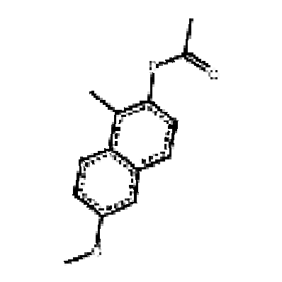 COc1ccc2c(C)c(OC(C)=O)ccc2c1